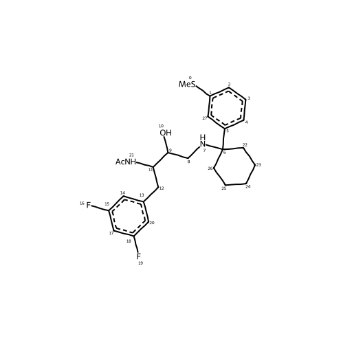 CSc1cccc(C2(NCC(O)C(Cc3cc(F)cc(F)c3)NC(C)=O)CCCCC2)c1